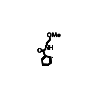 COCCNC(=O)c1[c]cccc1